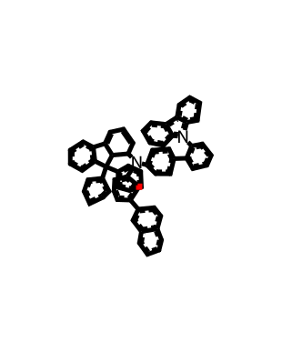 C1=CC(N(c2ccc(-c3ccccc3-n3c4ccccc4c4ccccc43)cc2)c2cccc(-c3ccc4ccccc4c3)c2)C2C(=C1)c1ccccc1C2(c1ccccc1)c1ccccc1